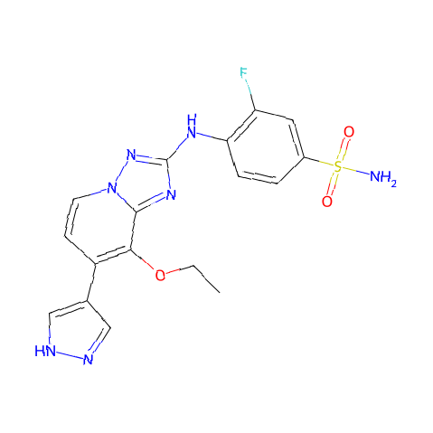 CCOc1c(-c2cn[nH]c2)ccn2nc(Nc3ccc(S(N)(=O)=O)cc3F)nc12